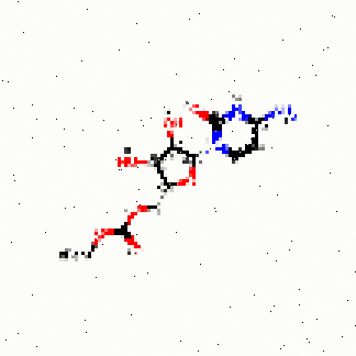 CCCCCOC(=O)OC[C@H]1O[C@@H](n2ccc(N)nc2=O)[C@H](O)[C@@H]1O